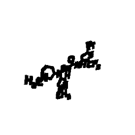 CC(C)c1cc(NC(=O)NSN(c2cnn(C)c2)C2CCCN(C)C2)c(C(F)(F)F)s1